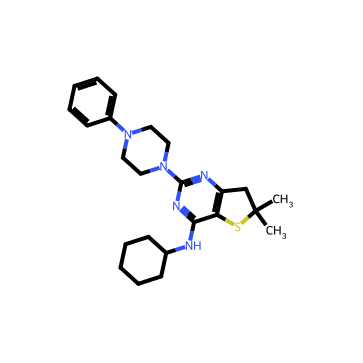 CC1(C)Cc2nc(N3CCN(c4ccccc4)CC3)nc(NC3CCCCC3)c2S1